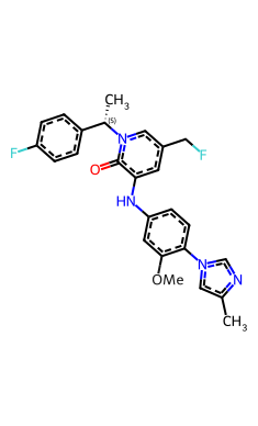 COc1cc(Nc2cc(CF)cn([C@@H](C)c3ccc(F)cc3)c2=O)ccc1-n1cnc(C)c1